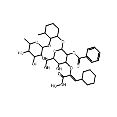 CC1CCCC(OC2OC(CO)C(O)C(O/C(=C\C3CCCCC3)C(=O)NO)C2OC(=O)c2ccccc2)C1OC1OC(C)C(O)C(O)C1O